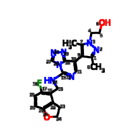 Cc1nn(CCO)c(C)c1-c1cnc(NCc2c(F)ccc3c2CCO3)n2cnnc12